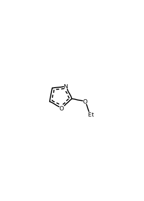 CCOc1ncco1